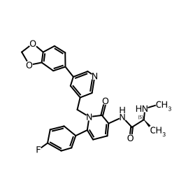 CN[C@@H](C)C(=O)Nc1ccc(-c2ccc(F)cc2)n(Cc2cncc(-c3ccc4c(c3)OCO4)c2)c1=O